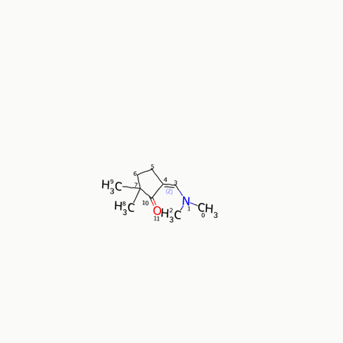 CN(C)/C=C1/CCC(C)(C)C1=O